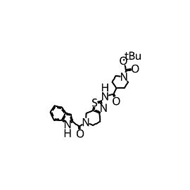 CC(C)(C)OC(=O)N1CCC(C(=O)Nc2nc3c(s2)CN(C(=O)c2cc4ccccc4[nH]2)CC3)CC1